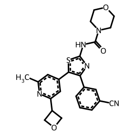 Cc1cc(-c2sc(NC(=O)N3CCOCC3)nc2-c2cccc(C#N)c2)cc(C2COC2)n1